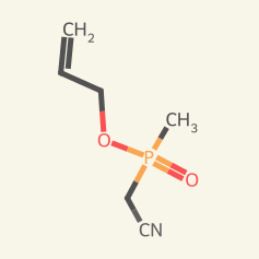 C=CCOP(C)(=O)CC#N